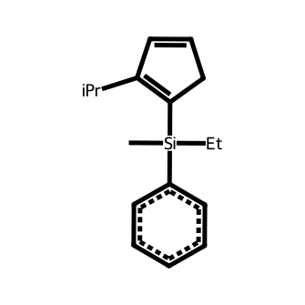 CC[Si](C)(C1=C(C(C)C)C=CC1)c1ccccc1